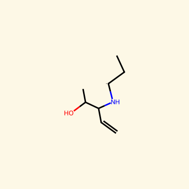 C=CC(N[CH]CC)C(C)O